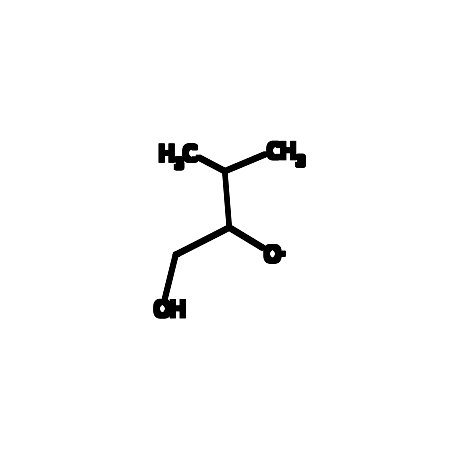 CC(C)C([O])CO